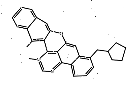 Cc1c2c(cc3ccccc13)Oc1cc3c(CC4CCCC4)cccc3c3nc[n+](C)c-2c13